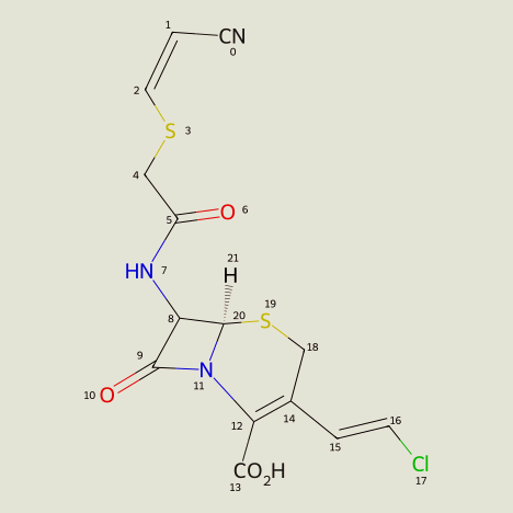 N#C/C=C\SCC(=O)NC1C(=O)N2C(C(=O)O)=C(/C=C/Cl)CS[C@H]12